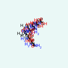 CC[C@H](C)[C@H](N)C(=O)O.CSCC[C@H](N)C(=O)O.C[C@@H](O)[C@H](N)C(=O)O.NC(=O)C[C@H](N)C(=O)O.NC(=O)C[C@H](N)C(=O)O.N[C@@H](CO)C(=O)O.N[C@@H](CO)C(=O)O